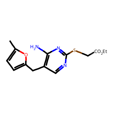 CCOC(=O)CSc1ncc(Cc2ccc(C)o2)c(N)n1